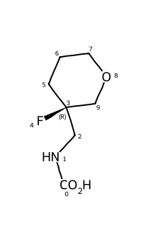 O=C(O)NC[C@]1(F)CCCOC1